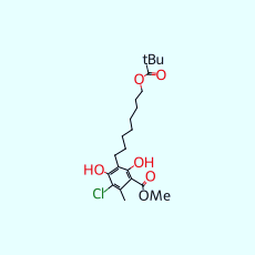 COC(=O)c1c(C)c(Cl)c(O)c(CCCCCCCCOC(=O)C(C)(C)C)c1O